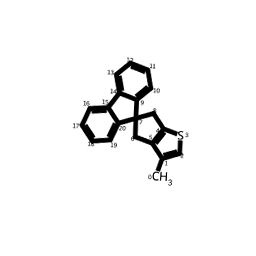 Cc1csc2c1CC1(C2)c2ccccc2-c2ccccc21